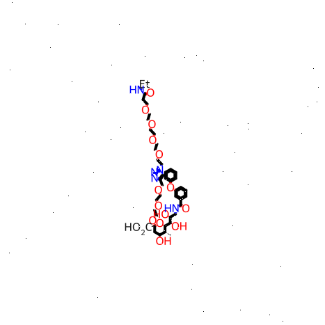 CCNC(=O)CCOCCOCCOCCOCCn1cc(COCCOCCO[C@]2(C(=O)O)C[C@H](O)[C@@H](C)[C@H]([C@H](O)[C@H](O)CNC(=O)c3cccc(Oc4ccccc4)c3)O2)nn1